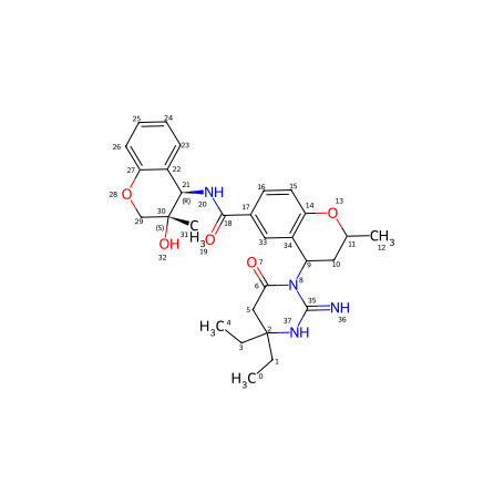 CCC1(CC)CC(=O)N(C2CC(C)Oc3ccc(C(=O)N[C@@H]4c5ccccc5OC[C@@]4(C)O)cc32)C(=N)N1